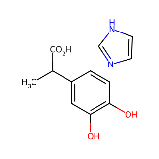 CC(C(=O)O)c1ccc(O)c(O)c1.c1c[nH]cn1